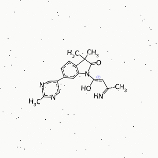 CC(=N)/C=C(\O)N1C(=O)C(C)(C)c2ccc(-c3cnc(C)nc3)cc21